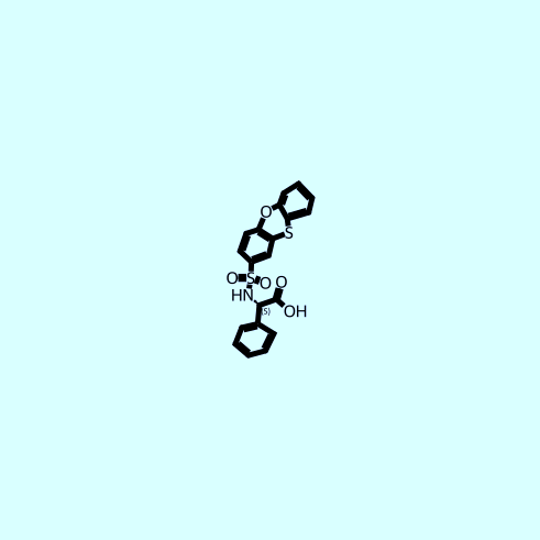 O=C(O)[C@@H](NS(=O)(=O)c1ccc2c(c1)Sc1ccccc1O2)c1ccccc1